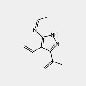 C=Cc1c(C(=C)C)n[nH]c1/N=C\C